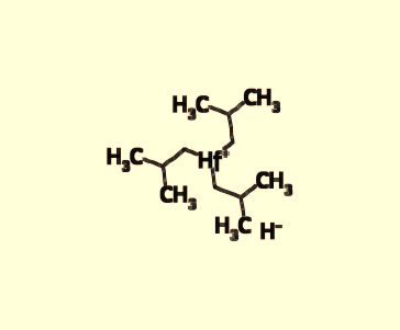 CC(C)[CH2][Hf+]([CH2]C(C)C)[CH2]C(C)C.[H-]